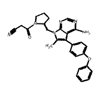 Cc1c(-c2ccc(Oc3ccccc3)cc2)c2c(N)ncnc2n1CC1CCCN1C(=O)CC#N